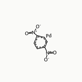 O=[N+]([O-])c1ccc([N+](=O)[O-])cc1.[Pd]